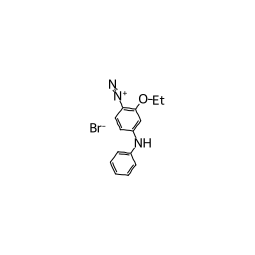 CCOc1cc(Nc2ccccc2)ccc1[N+]#N.[Br-]